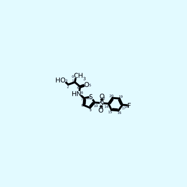 CC(CO)C(=O)Nc1ccc(S(=O)(=O)c2ccc(F)cc2)s1